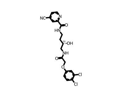 N#Cc1ccnc(C(=O)NCC[C@H](O)CNC(=O)COc2ccc(Cl)c(Cl)c2)c1